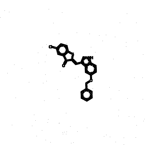 O=C1C(=Cc2c[nH]c3ccc(OCc4ccccc4)cc23)Sc2ccc(Cl)cc21